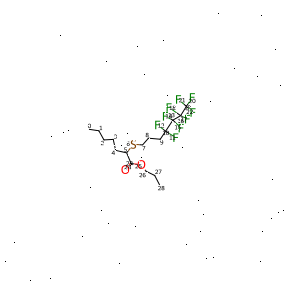 CCCCCC(SCCCC(F)(F)C(F)(F)C(F)(F)C(F)(F)F)C(=O)OCCC